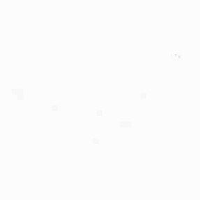 Cc1cc(Cl)cc2c1OC(C(F)(F)F)C(C(=O)O[C@@H](C)OC(=O)CCO[N+](=O)[O-])=C2